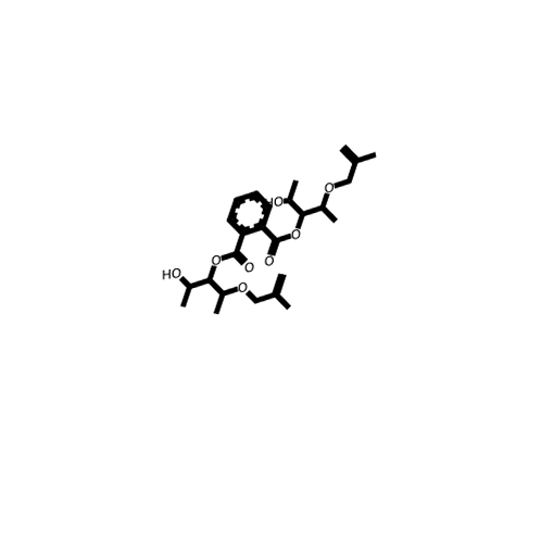 C=C(C)COC(C)C(OC(=O)c1ccccc1C(=O)OC(C(C)O)C(C)OCC(=C)C)C(C)O